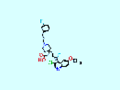 COc1ccc2ncc(Cl)c([C@@H](F)CCC3(CC(=O)O)CCN(CCCc4cccc(F)c4)CC3)c2c1